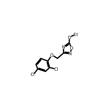 CCOc1nc(COc2ccc(Cl)cc2Cl)no1